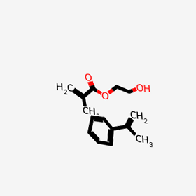 C=C(C)C(=O)OCCO.C=C(C)c1ccccc1